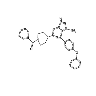 Nc1n[nH]c2cc(C3CCN(C(=O)c4ccccc4)CC3)nc(-c3ccc(Oc4ccccc4)cc3)c12